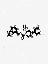 C[C@@H]1CN(c2ccnc(F)c2)CCN1C(=O)NCc1cccc2c1OCO2